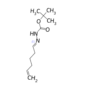 C=CCCC/C=N/NC(=O)OC(C)(C)C